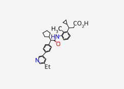 CCc1cncc(-c2ccc(C(C(=O)Nc3cccc(C(CC(=O)O)C4CC4)c3C)C3CCCC3)cc2)c1